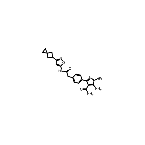 CC(C)n1nc(-c2ccc(CC(=O)Nc3cc(C4CC5(CC5)C4)no3)cc2)c(C(N)=O)c1N